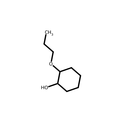 CCCOC1CCCCC1O